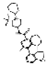 Cc1cc(C(=O)NC2CCN(C3CCCCC3)C(C(F)(F)F)C2)ccc1-c1cccc2c1C(C1CCCCCC1)CCN2